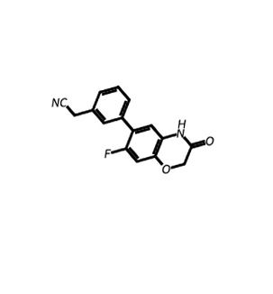 N#CCc1cccc(-c2cc3c(cc2F)OCC(=O)N3)c1